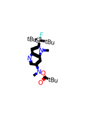 CN(OC(=O)C(C)(C)C)c1cnc2cc([Si](F)(C(C)(C)C)C(C)(C)C)n(C)c2c1